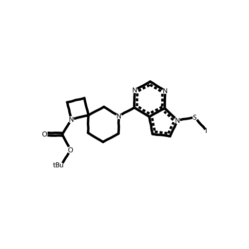 CC(C)(C)OC(=O)N1CCC12CCCN(c1ncnc3c1ccn3SI)C2